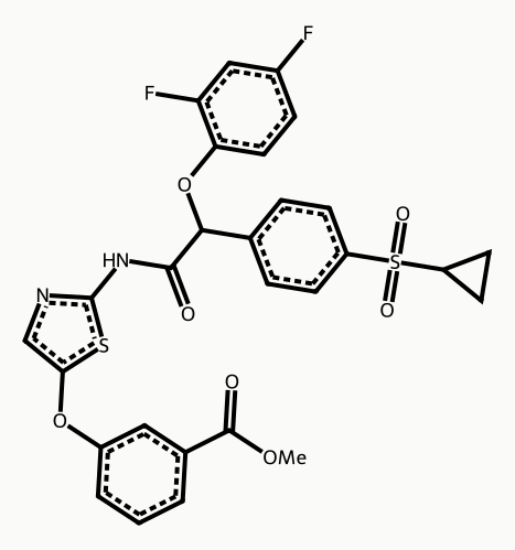 COC(=O)c1cccc(Oc2cnc(NC(=O)C(Oc3ccc(F)cc3F)c3ccc(S(=O)(=O)C4CC4)cc3)s2)c1